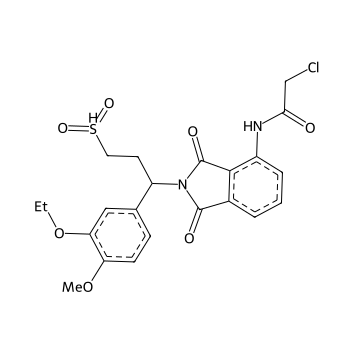 CCOc1cc(C(CC[SH](=O)=O)N2C(=O)c3cccc(NC(=O)CCl)c3C2=O)ccc1OC